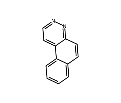 c1ccc2c(c1)ccc1nnccc12